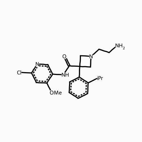 COc1cc(Cl)ncc1NC(=O)C1(c2ccccc2C(C)C)CN(CCN)C1